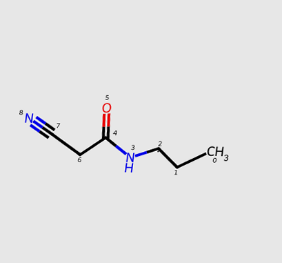 CC[CH]NC(=O)CC#N